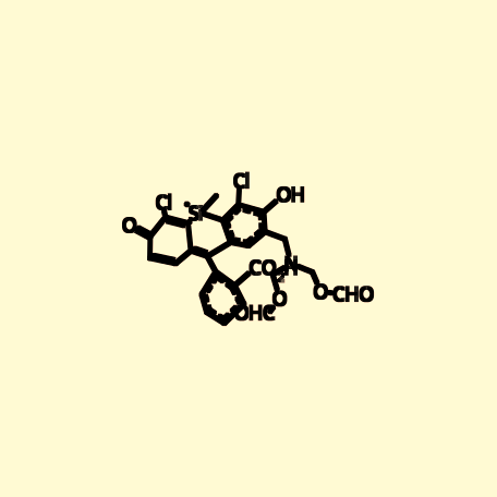 C[Si]1(C)C2=C(Cl)C(=O)C=CC2=C(c2ccccc2C(=O)O)c2cc(CN(COC=O)COC=O)c(O)c(Cl)c21